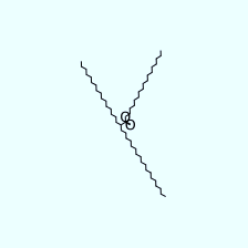 CCCCCCCCCCCCCCCCCCC(CCCCCCCCCCCCCCCC)C(=O)OCCCCCCCCCCCCCCCC